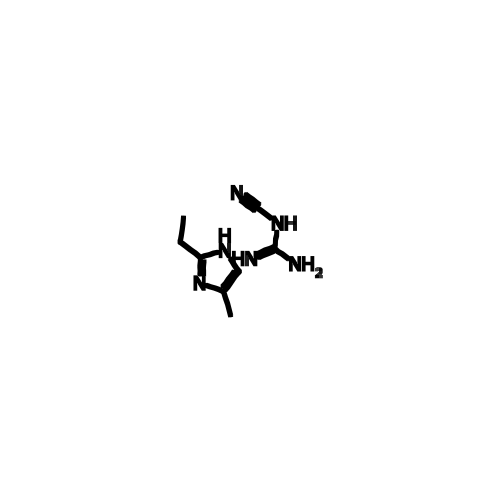 CCc1nc(C)c[nH]1.N#CNC(=N)N